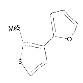 CSc1sccc1-c1ccco1